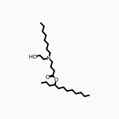 CCCCCCCCC(CCC)OC(=O)CCCN(CCO)CCCCCCCC